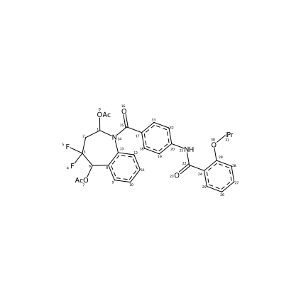 CC(=O)OC1CC(F)(F)C(OC(C)=O)c2ccccc2N1C(=O)c1ccc(NC(=O)c2ccccc2OC(C)C)cc1